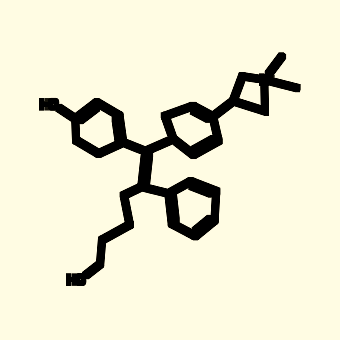 C[N+]1(C)CC(C2=CCC(/C(C3=CC=C(O)CC3)=C(/CCCCO)c3ccccc3)C=C2)C1